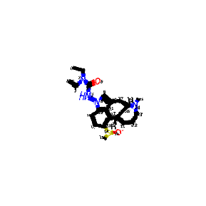 CCN(CC)C(=O)Nn1cc2c3c(c([S+](C)[O-])ccc31)[C@H]1CCCN(C)[C@@H]1C2